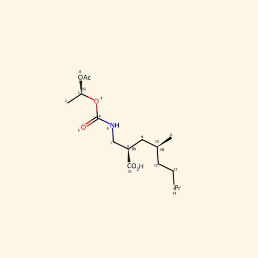 CC(=O)O[C@H](C)OC(=O)NC[C@@H](C[C@@H](C)CCC(C)C)C(=O)O